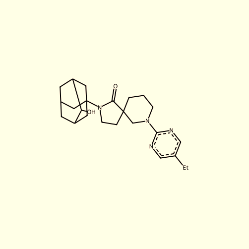 CCc1cnc(N2CCCC3(CCN(C45CC6CC(C4)C(O)C(C6)C5)C3=O)C2)nc1